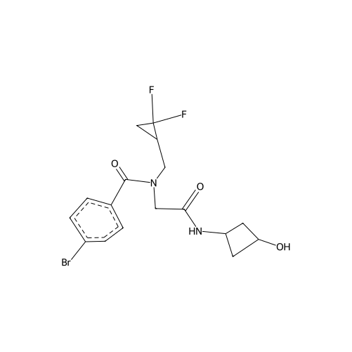 O=C(CN(CC1CC1(F)F)C(=O)c1ccc(Br)cc1)NC1CC(O)C1